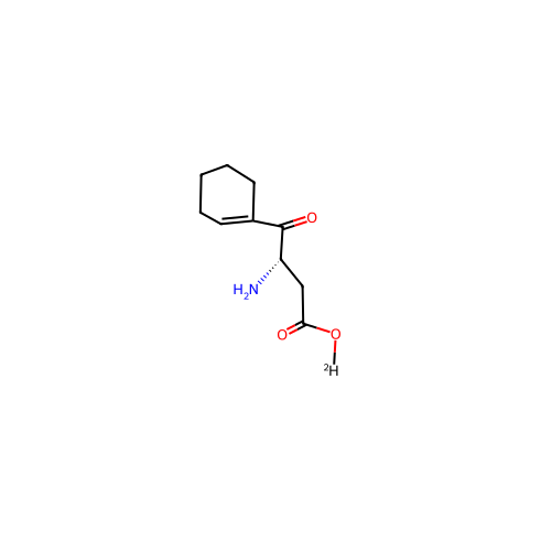 [2H]OC(=O)C[C@H](N)C(=O)C1=CCCCC1